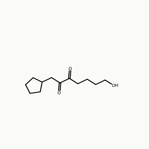 O=C(CCCCO)C(=O)CC1CCCC1